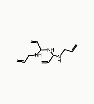 C=CCNC(C=C)NC(C=C)NCC=C